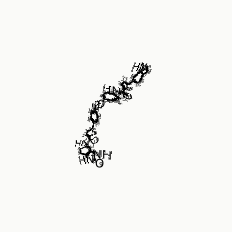 O=C(Nc1ccc2[nH]c(=O)[nH]c2c1)c1ccc(-c2ccc(OOc3ccc(NC(=O)c4ccc(-c5ccc6cc[nH]c6c5)s4)cc3)cc2)s1